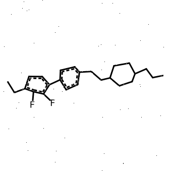 CCCC1CCC(CCc2ccc(-c3ccc(CC)c(F)c3F)cc2)CC1